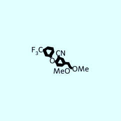 COC(Cc1ccc(Oc2cccc(C(F)(F)F)c2)c(C#N)c1)OC